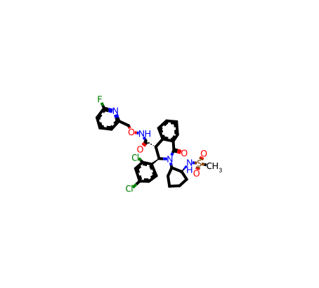 CS(=O)(=O)N[C@H]1CCCCC1N1C(=O)c2ccccc2[C@@H](C(=O)NOCc2cccc(F)n2)[C@@H]1c1ccc(Cl)cc1Cl